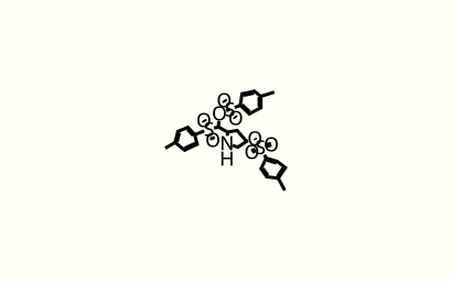 Cc1ccc(S(=O)(=O)OC2CNC(C(OS(=O)(=O)c3ccc(C)cc3)S(=O)(=O)c3ccc(C)cc3)C2)cc1